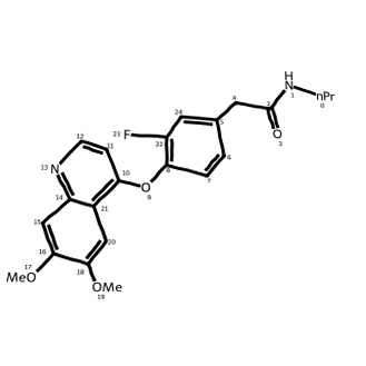 CCCNC(=O)Cc1ccc(Oc2ccnc3cc(OC)c(OC)cc23)c(F)c1